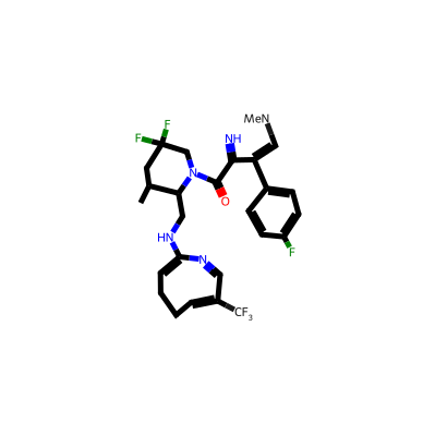 CN/C=C(\C(=N)C(=O)N1CC(F)(F)CC(C)C1CNC1=C/CC/C=C(C(F)(F)F)/C=N\1)c1ccc(F)cc1